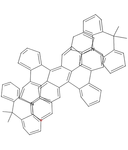 CC1(C)c2ccccc2N(c2ccc3c(-c4ccccc4-c4ccc5ccccc5c4)c4cc(N5c6ccccc6C(C)(C)c6ccccc65)ccc4c(-c4ccccc4-c4ccc5c(c4)CCC=C5)c3c2)c2ccccc21